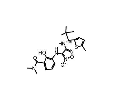 Cc1ccc([C@H](Nc2no[n+]([O-])c2Nc2cccc(C(=O)N(C)C)c2O)C(C)(C)C)s1